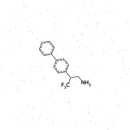 NCC(c1ccc(-c2ccccc2)cc1)C(F)(F)F